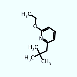 CCOc1cccc(CC(C)(C)C)n1